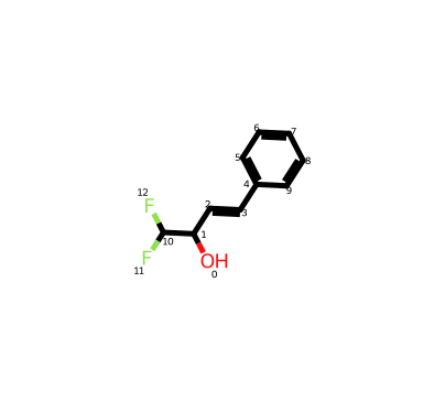 OC(/C=C/c1ccccc1)C(F)F